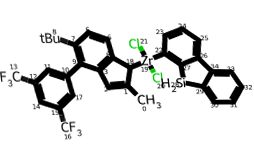 CC1=Cc2c(ccc(C(C)(C)C)c2-c2cc(C(F)(F)F)cc(C(F)(F)F)c2)[CH]1[Zr]([Cl])([Cl])[c]1cccc2c1[SiH2]c1ccccc1-2